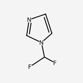 FC(F)n1ccnc1